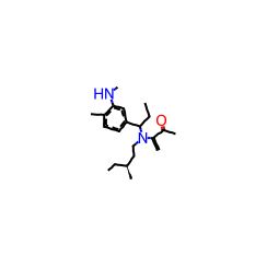 C=C(C(C)=O)N(CC[C@@H](C)CC)C(CC)c1ccc(C)c(NC)c1